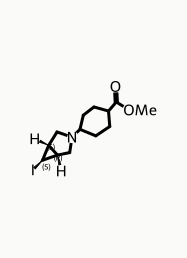 COC(=O)C1CCC(N2C[C@@H]3[C@@H](I)[C@@H]3C2)CC1